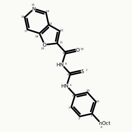 CCCCCCCCc1ccc(NC(=S)NC(=O)c2cc3cnccc3o2)cc1